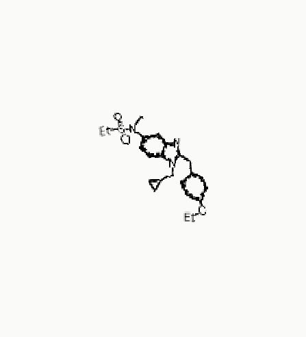 CCOc1ccc(Cc2nc3cc(N(C)S(=O)(=O)CC)ccc3n2CC2CC2)cc1